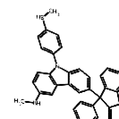 CBc1ccc(-n2c3ccc(BC)cc3c3cc(C4(c5ccccc5)c5ccccc5-c5ccccc54)ccc32)cc1